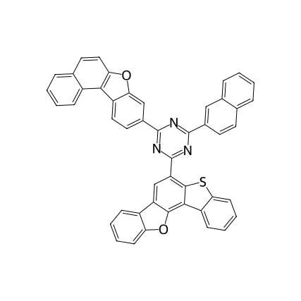 c1ccc2cc(-c3nc(-c4ccc5c(c4)oc4ccc6ccccc6c45)nc(-c4cc5c6ccccc6oc5c5c4sc4ccccc45)n3)ccc2c1